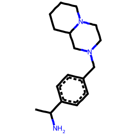 CC(N)c1ccc(CN2CCN3CCCCC3C2)cc1